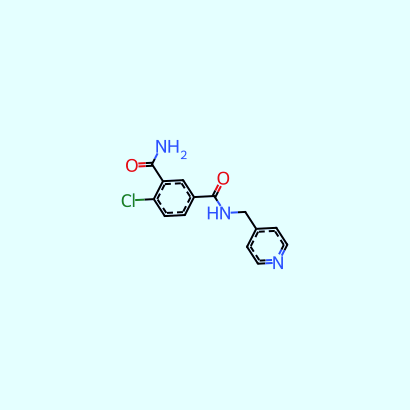 NC(=O)c1cc(C(=O)NCc2ccncc2)ccc1Cl